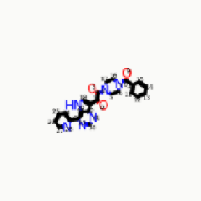 O=C(C(=O)N1CCN(C(=O)c2ccccc2)CC1)c1c[nH]c2c(-c3ccccn3)ncnc12